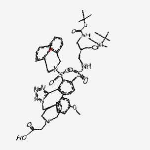 COc1ccc(Cn2nnnc2-c2c(N3CCN(CC(=O)O)CC3)ccc(S(=O)(=O)NC[C@@H](CNC(=O)OC(C)(C)C)O[Si](C)(C)C(C)(C)C)c2S(=O)(=O)N(Cc2ccccc2)Cc2ccccc2)cc1